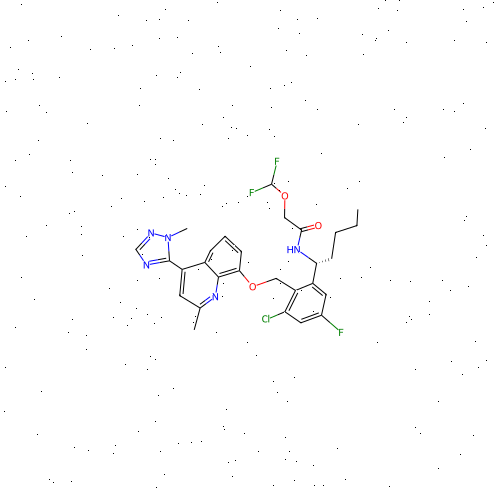 CCCC[C@@H](NC(=O)COC(F)F)c1cc(F)cc(Cl)c1COc1cccc2c(-c3ncnn3C)cc(C)nc12